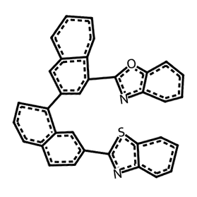 c1cc(-c2cc(-c3nc4ccccc4o3)c3ccccc3c2)c2cc(-c3nc4ccccc4s3)ccc2c1